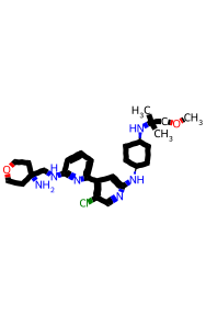 COCC(C)(C)N[C@H]1CC[C@H](Nc2cc(-c3cccc(NCC4(N)CCOCC4)n3)c(Cl)cn2)CC1